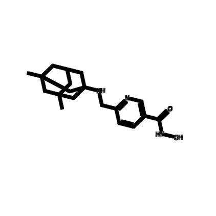 CC12CC3CC(C)(C1)CC(NCc1ccc(C(=O)NO)cn1)(C3)C2